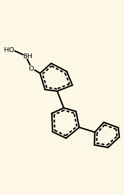 OBOc1cccc(-c2cccc(-c3ccccc3)c2)c1